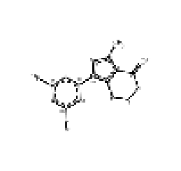 O=C1CCCc2c1c(C(F)(F)F)cn2-c1cc(F)cc(F)c1